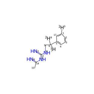 [2H]c1cccc(C([2H])([2H])CNC(=N)NC(C)=N)c1